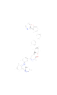 c1cc(-c2cccc(-c3ccc4oc5cccnc5c4c3)c2)cc(-c2ccc3oc4cnc(-c5cccc(-n6c7ccccc7c7ncccc76)c5)cc4c3c2)c1